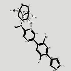 CN(c1cnc(-c2cc(F)c(-c3cn[nH]c3)cc2O)cn1)[C@@H]1C[C@H]2CC[C@H](N2)[C@@H]1F